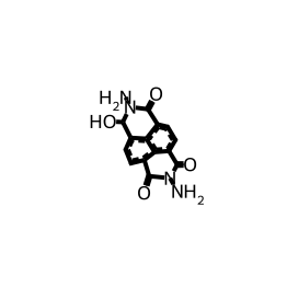 NN1C(=O)c2ccc3c4c(ccc(c24)C1=O)C(O)N(N)C3=O